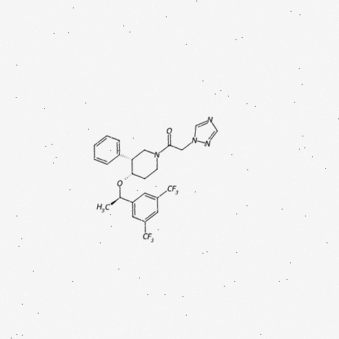 C[C@@H](O[C@H]1CCN(C(=O)Cn2cncn2)C[C@H]1c1ccccc1)c1cc(C(F)(F)F)cc(C(F)(F)F)c1